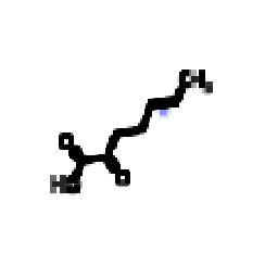 C/C=C/CCC(=O)C(=O)O